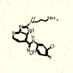 NCCCNc1nc2nccc(/C(=N/O)Nc3ccc(F)c(Cl)c3)c2[nH]1